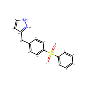 O=S(=O)(c1ccccc1)c1ccc(Cc2cc[nH]n2)cc1